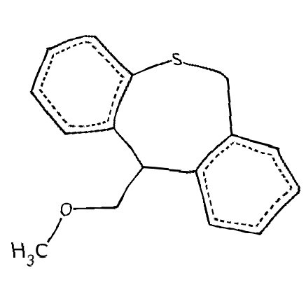 COCC1c2ccccc2CSc2ccccc21